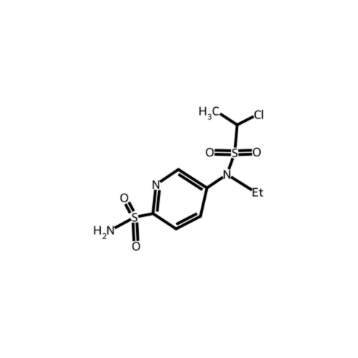 CCN(c1ccc(S(N)(=O)=O)nc1)S(=O)(=O)C(C)Cl